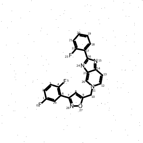 Fc1ccc(F)c(-c2cc(Cn3ccc4nc(-c5ccccc5F)nc-4c3)on2)c1